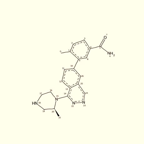 Cc1ccc(C(N)=O)cc1-c1ccc2c(N3CCNC[C@@H]3C)nncc2c1